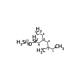 CCC(C)CC(CC)C[SiH2]O[SiH3]